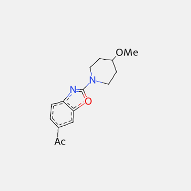 COC1CCN(c2nc3ccc(C(C)=O)cc3o2)CC1